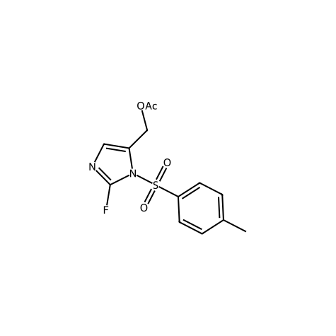 CC(=O)OCc1cnc(F)n1S(=O)(=O)c1ccc(C)cc1